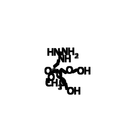 CCOC(=O)[C@H](CCCNC(=N)N)N(CCOCCO)CCOCCO